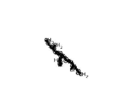 C=CC(=O)OCCCCOCC(CCOc1ccc(C(=O)OCCc2ccc(OC(=O)c3ccc(OCCC(COCCCCOC(=O)C=C)OC(=O)C=C)cc3)c(/C=N/Nc3nc4ccccc4s3)c2)cc1)OC(=O)C=C